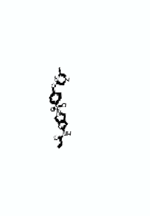 C=CC(=O)Nc1cc2c(s1)CN(S(=O)(=O)c1ccc(Oc3cncc(C)n3)cc1)C2